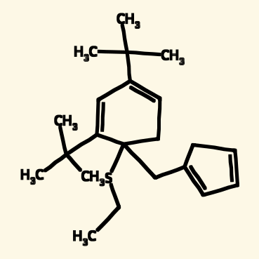 CCSC1(CC2=CC=CC2)CC=C(C(C)(C)C)C=C1C(C)(C)C